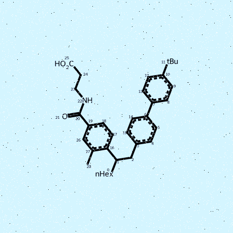 CCCCCCC(Cc1ccc(-c2ccc(C(C)(C)C)cc2)cc1)c1ccc(C(=O)NCCC(=O)O)cc1C